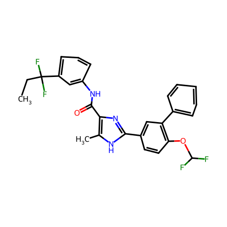 CCC(F)(F)c1cccc(NC(=O)c2nc(-c3ccc(OC(F)F)c(-c4ccccc4)c3)[nH]c2C)c1